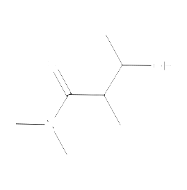 CC(O)C(C)C(=O)N(C)C